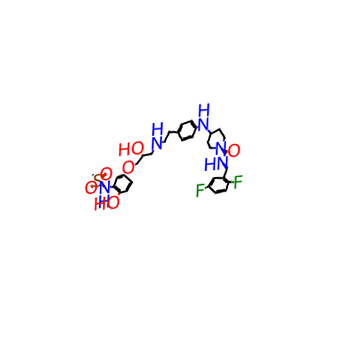 CS(=O)(=O)Nc1cc(OC[C@@H](O)CNCCc2ccc(NC3CCN(C(=O)NCc4cc(F)ccc4F)CC3)cc2)ccc1O